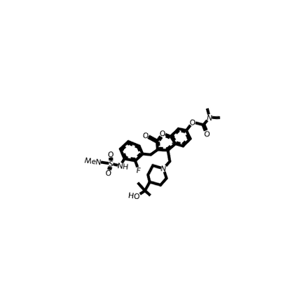 CNS(=O)(=O)Nc1cccc(Cc2c(CN3CCC(C(C)(C)O)CC3)c3ccc(OC(=O)N(C)C)cc3oc2=O)c1F